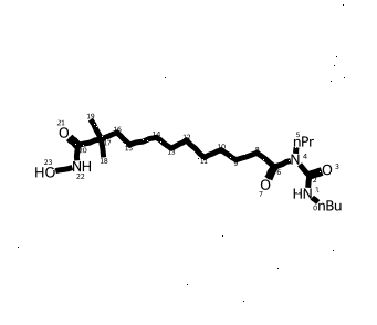 CCCCNC(=O)N(CCC)C(=O)CCCCCCCCCC(C)(C)C(=O)NO